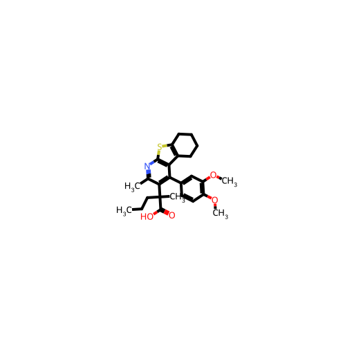 CCCC(C)(C(=O)O)c1c(C)nc2sc3c(c2c1-c1ccc(OC)c(OC)c1)CCCC3